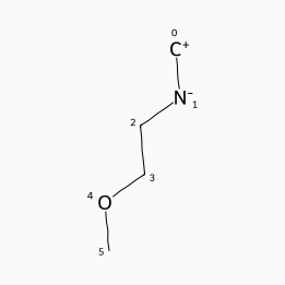 [CH2+][N-]CCOC